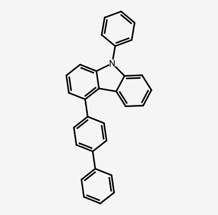 c1ccc(-c2ccc(-c3cccc4c3c3ccccc3n4-c3ccccc3)cc2)cc1